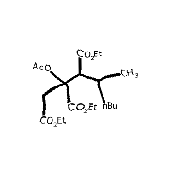 CCCCC(C)C(C(=O)OCC)C(CC(=O)OCC)(OC(C)=O)C(=O)OCC